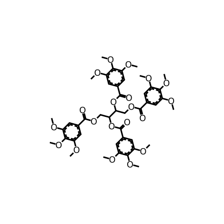 COc1cc(C(=O)OCC(OC(=O)c2cc(OC)c(OC)c(OC)c2)C(COC(=O)c2cc(OC)c(OC)c(OC)c2)OC(=O)c2cc(OC)c(OC)c(OC)c2)cc(OC)c1OC